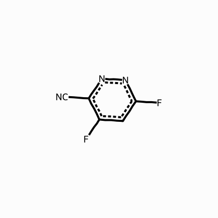 N#Cc1nnc(F)cc1F